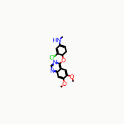 CNC1=CCC(Oc2ncnc3cc(OC)c(OC)cc23)C(Cl)=C1